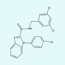 O=C(NCc1cc(Cl)cc(Cl)c1)c1cc2ccccc2n1-c1ccc(Cl)cc1